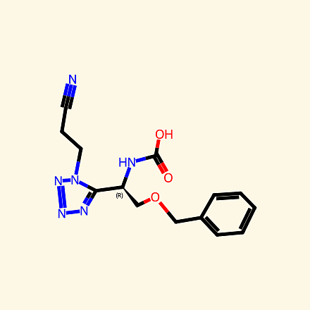 N#CCCn1nnnc1[C@H](COCc1ccccc1)NC(=O)O